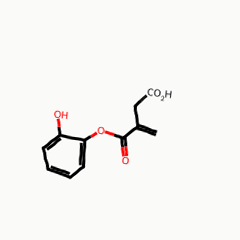 C=C(CC(=O)O)C(=O)Oc1ccccc1O